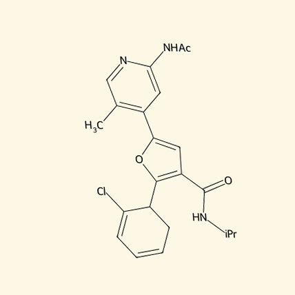 CC(=O)Nc1cc(-c2cc(C(=O)NC(C)C)c(C3CC=CC=C3Cl)o2)c(C)cn1